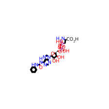 NC(CP(=O)(O)OP(=O)(O)OC[C@H]1O[C@@H](n2cnc3c(NC(=O)Nc4ccccc4)ncnc32)[C@@H](O)C1O)C(=O)O